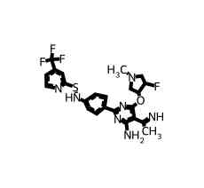 CC(=N)c1c(N)nc(-c2ccc(NSc3cc(C(F)(F)F)ccn3)cc2)nc1OC1CN(C)CC1F